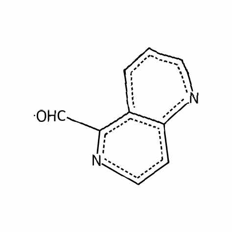 O=[C]c1nccc2ncccc12